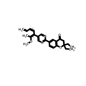 C=C/C=C\C(=C(/C)OC)c1cnc(-c2ccc3c(c2)C(=O)CC(CC)(CC)O3)nc1